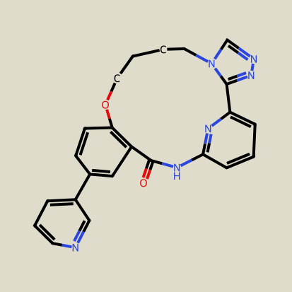 O=C1Nc2cccc(n2)-c2nncn2CCCCOc2ccc(-c3cccnc3)cc21